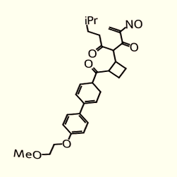 C=C(N=O)C(=O)C(C(=O)CCC(C)C)C1CCC1C(=O)C1C=CC(c2ccc(OCCOC)cc2)=CC1